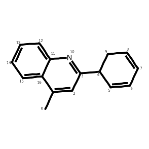 Cc1cc(C2C=CC=CC2)nc2ccccc12